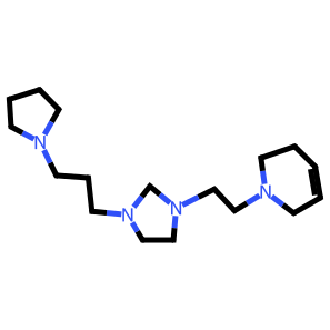 C1=CCN(CCN2CCN(CCCN3CCCC3)C2)CC1